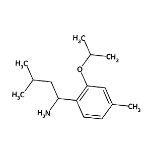 Cc1ccc(C(N)CC(C)C)c(OC(C)C)c1